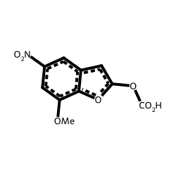 COc1cc([N+](=O)[O-])cc2cc(OC(=O)O)oc12